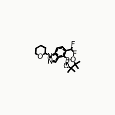 CC1(C)OB(c2c(C(F)F)ccc3c2cnn3C2CCCCO2)OC1(C)C